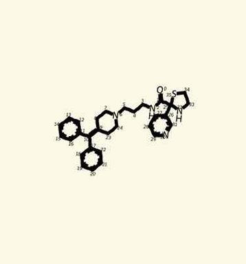 O=C(NCCCN1CCC(=C(c2ccccc2)c2ccccc2)CC1)C1(c2cccnc2)NCCS1